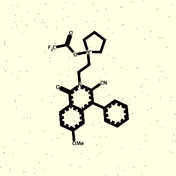 COc1ccc2c(=O)n(CC[N+]3(OC(=O)C(F)(F)F)CCCC3)c(C#N)c(-c3ccccc3)c2c1